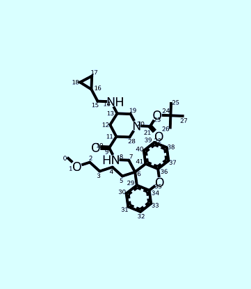 COCCCCC1(CNC(=O)C2CC(NCC3CC3)CN(C(=O)OC(C)(C)C)C2)c2ccccc2Oc2ccccc21